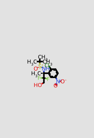 CC(C)(C)[S@@+]([O-])N[C@](C)(c1cc([N+](=O)[O-])ccc1Cl)C(F)(F)CO